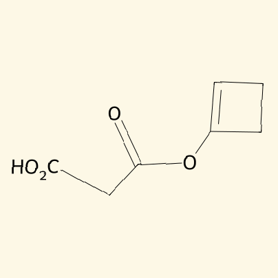 O=C(O)CC(=O)OC1=CCC1